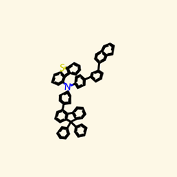 c1ccc(C2(c3ccccc3)c3ccccc3-c3c(-c4ccc(N(c5ccc(-c6cccc(-c7ccc8ccccc8c7)c6)cc5)c5cccc6sc7ccccc7c56)cc4)cccc32)cc1